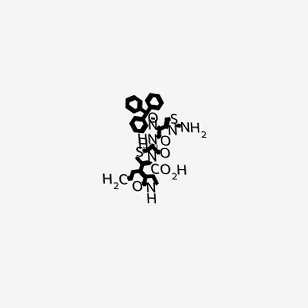 C=CCC(=C1CCNC1=O)C1=C(C(=O)O)N2C(=O)[C@@H](NC(=O)C(=NOC(c3ccccc3)(c3ccccc3)c3ccccc3)c3csc(N)n3)[C@H]2SC1